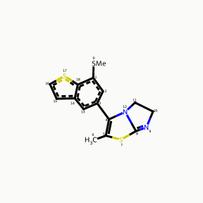 CSc1cc(C2=C(C)SC3=NCCN32)cc2ccsc12